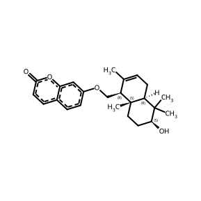 CC1=CC[C@H]2C(C)(C)[C@@H](O)CC[C@]2(C)[C@H]1COc1ccc2ccc(=O)oc2c1